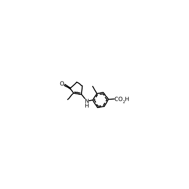 CC1=C(Nc2ccc(C(=O)O)cc2C)CCC1=O